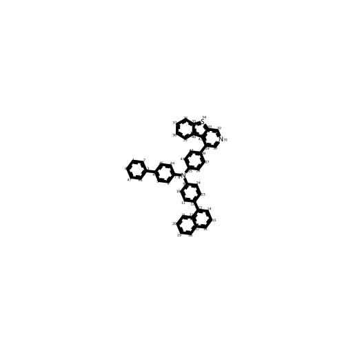 c1ccc(-c2ccc(N(c3ccc(-c4cccc5ccccc45)cc3)c3ccc(-c4cncc5sc6ccccc6c45)cc3)cc2)cc1